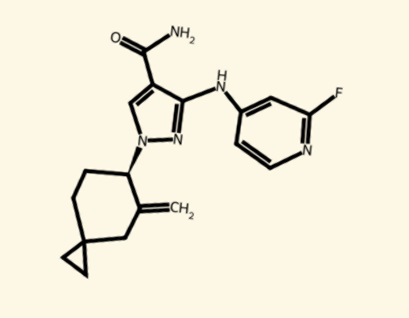 C=C1CC2(CC[C@H]1n1cc(C(N)=O)c(Nc3ccnc(F)c3)n1)CC2